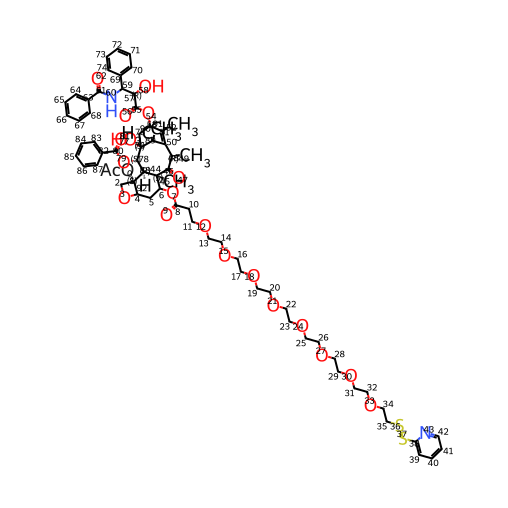 CC(=O)O[C@@]12COC1CC(OC(=O)CCOCCOCCOCCOCCOCCOCCOCCOCCSSc1ccccn1)[C@@]1(C)C(=O)[C@H](C)C3=C(C)C(OC(=O)[C@H](O)C(NC(=O)c4ccccc4)c4ccccc4)C[C@@](O)([C@@H](OC(=O)c4ccccc4)[C@H]21)C3(C)C